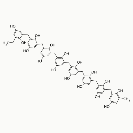 CCc1cc(O)cc(Cc2cc(O)cc(Cc3cc(O)cc(Cc4cc(O)cc(Cc5cc(O)cc(Cc6cc(O)cc(Cc7cc(O)cc(Cc8cc(O)cc(C)c8O)c7O)c6O)c5O)c4O)c3O)c2O)c1O